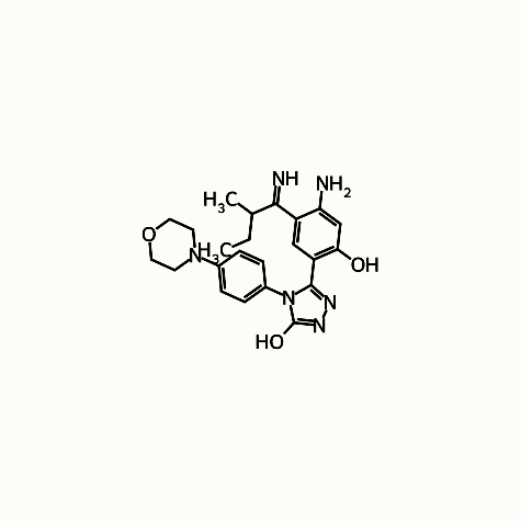 CCC(C)C(=N)c1cc(-c2nnc(O)n2-c2ccc(N3CCOCC3)cc2)c(O)cc1N